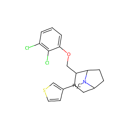 CN1C2CCC1C(COc1cccc(Cl)c1Cl)C(c1ccsc1)C2